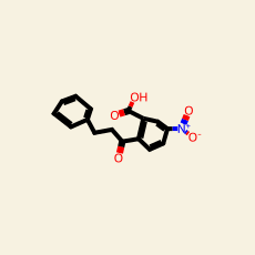 O=C(O)c1cc([N+](=O)[O-])ccc1C(=O)CCc1ccccc1